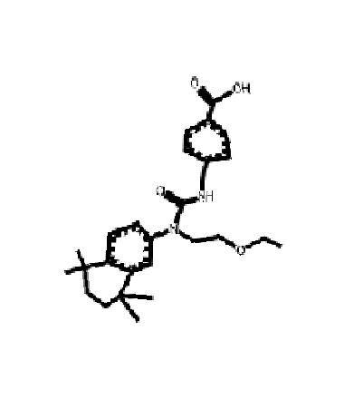 CCOCCN(C(=O)Nc1ccc(C(=O)O)cc1)c1ccc2c(c1)C(C)(C)CCC2(C)C